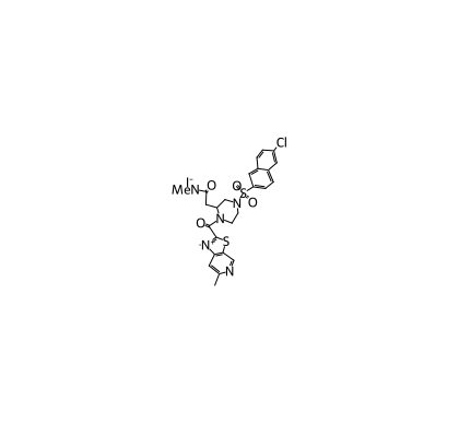 CNC(=O)CC1CN(S(=O)(=O)c2ccc3cc(Cl)ccc3c2)CCN1C(=O)C1=[N+]c2cc(C)ncc2S1.[I-]